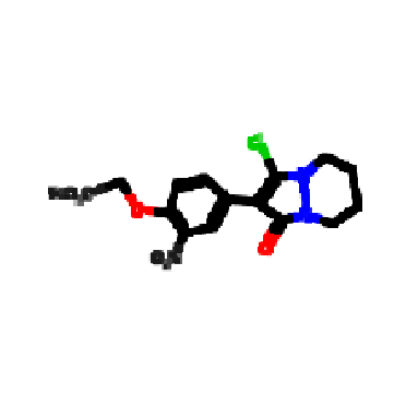 CCOC(=O)COc1ccc(-c2c(Cl)n3n(c2=O)CCCC3)cc1[N+](=O)[O-]